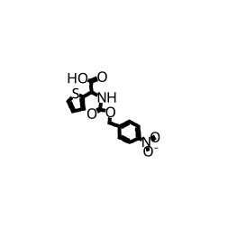 O=C(NC(C(=O)O)c1cccs1)OCc1ccc([N+](=O)[O-])cc1